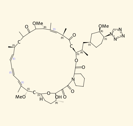 COC1C(=O)C(C)C[C@H](C)/C=C/C=C/C=C(\C)[C@@H](OC)C[C@@H]2CC[C@@H](C)C(O)(O2)C(=O)C(=O)N2CCCCC2C(=O)O[C@H]([C@H](C)C[C@@H]2CC[C@H](n3cnnn3)[C@H](OC)C2)CC(=O)[C@H](C)/C=C(\C)[C@H]1C